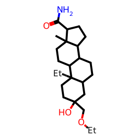 CCOCC1(O)CCC2(CC)C(CCC3C4CCC(C(N)=O)C4(C)CCC32)C1